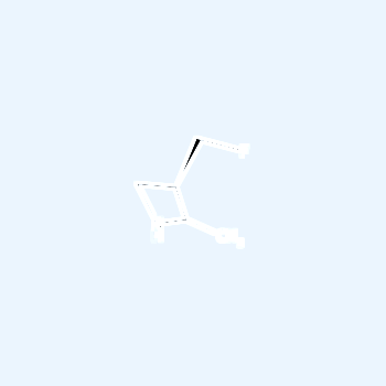 CC1NC[C@H]1CF